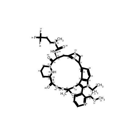 CCn1c(-c2cccnc2[C@H](C)OC)c2c3cc(ccc31)C1CSC(=N1)C[C@H](NC(=O)N(C)CCC(F)(F)F)C(=O)N1CCC[C@H](N1)C(=O)OCC(C)(C)C2